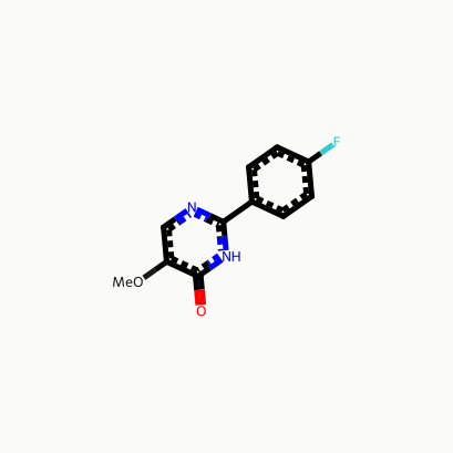 COc1cnc(-c2ccc(F)cc2)[nH]c1=O